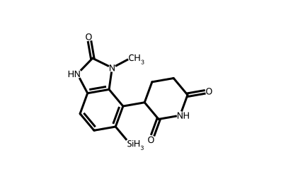 Cn1c(=O)[nH]c2ccc([SiH3])c(C3CCC(=O)NC3=O)c21